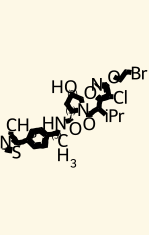 Cc1ncsc1-c1ccc([C@H](C)NC(=O)[C@@H]2C[C@@H](O)CN2C(=O)C(c2onc(OCCBr)c2Cl)C(C)C)cc1